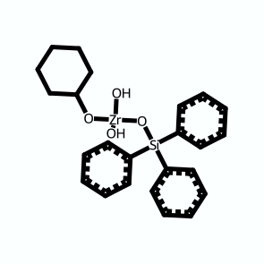 [OH][Zr]([OH])([O]C1CCCCC1)[O][Si](c1ccccc1)(c1ccccc1)c1ccccc1